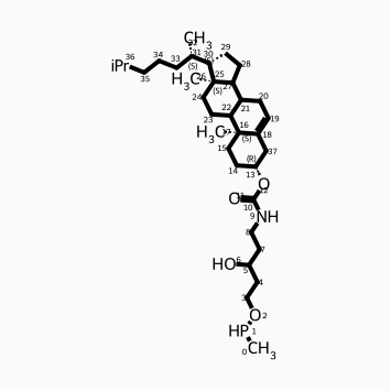 CPOCCC(O)CCNC(=O)O[C@@H]1CC[C@]2(C)C(=CCC3C2CC[C@]2(C)C3CC[C@H]2[C@@H](C)CCCC(C)C)C1